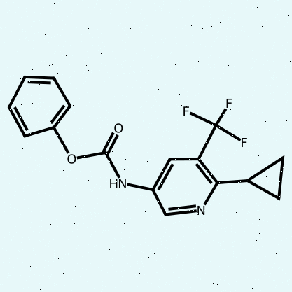 O=C(Nc1cnc(C2CC2)c(C(F)(F)F)c1)Oc1ccccc1